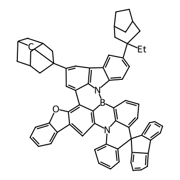 CCC1(c2ccc3c(c2)c2cc(C45CC6CC(CC(C6)C4)C5)cc4c2n3B2c3cccc5c3N(c3ccccc3C53c5ccccc5-c5ccccc53)c3cc5c(oc6ccccc65)c-4c32)CC2CCC(C2)C1